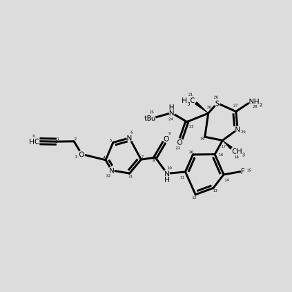 C#CCOc1cnc(C(=O)Nc2ccc(F)c([C@]3(C)C[C@](C)(C(=O)NC(C)(C)C)SC(N)=N3)c2)cn1